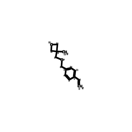 C=Cc1ccc(COCC2(C)COC2)cc1